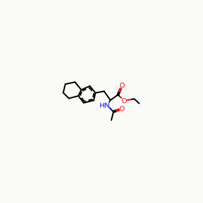 CCOC(=O)C(Cc1ccc2c(c1)CCCC2)NC(C)=O